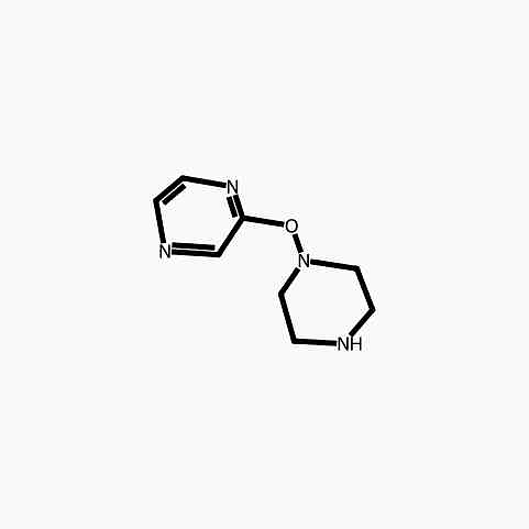 c1cnc(ON2CCNCC2)cn1